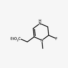 CCOC(=O)CC1=CNCC(F)N1C